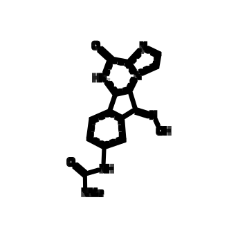 CNC(=O)Nc1ccc2c(c1)C(=NO)c1c-2[nH]c(=O)c2nccn12